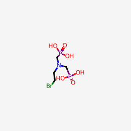 O=P(O)(O)CN(CCBr)CP(=O)(O)O